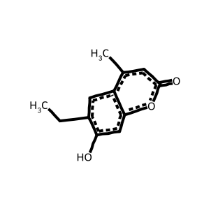 CCc1cc2c(C)cc(=O)oc2cc1O